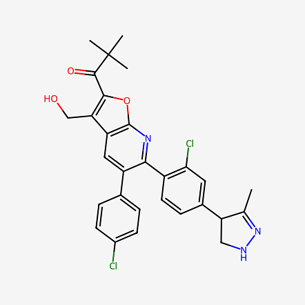 CC1=NNCC1c1ccc(-c2nc3oc(C(=O)C(C)(C)C)c(CO)c3cc2-c2ccc(Cl)cc2)c(Cl)c1